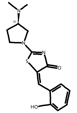 CN(C)[C@@H]1CCN(C2=NC(=O)C(=Cc3ccccc3O)S2)C1